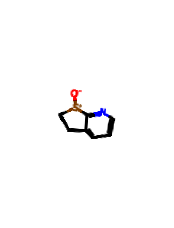 [O-][S+]1CCc2cccnc21